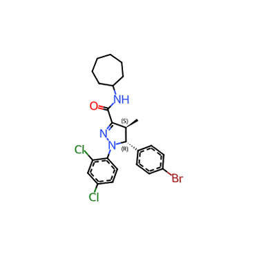 C[C@@H]1C(C(=O)NC2CCCCCC2)=NN(c2ccc(Cl)cc2Cl)[C@H]1c1ccc(Br)cc1